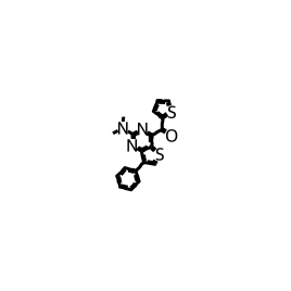 CN(C)c1nc(C(=O)c2cccs2)c2scc(-c3ccccc3)c2n1